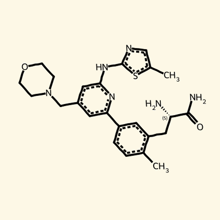 Cc1cnc(Nc2cc(CN3CCOCC3)cc(-c3ccc(C)c(C[C@H](N)C(N)=O)c3)n2)s1